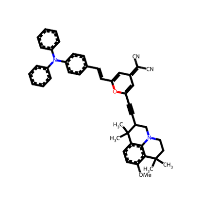 COc1ccc2c3c1C(C)(C)CCN3CC(C#CC1=CC(=C(C#N)C#N)C=C(C=Cc3ccc(N(c4ccccc4)c4ccccc4)cc3)O1)C2(C)C